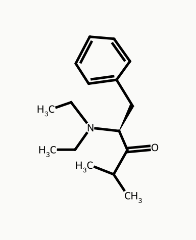 CCN(CC)[C@@H](Cc1ccccc1)C(=O)C(C)C